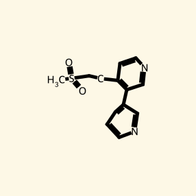 CS(=O)(=O)CCc1ccncc1-c1cccnc1